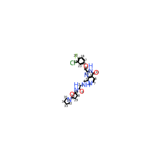 O=C(CNCc1nccc2c(=O)[nH]c(COc3ccc(F)c(Cl)c3)nc12)N[C@H]1CCC(N2CCCC2)O1